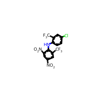 O=[N+]([O-])c1cc([N+](=O)[O-])c(Nc2ccc(Cl)cc2C(F)(F)F)c(C(F)(F)F)c1